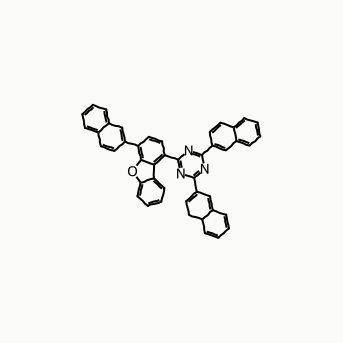 C1=CC2=CC(c3nc(-c4ccc5ccccc5c4)nc(-c4ccc(-c5ccc6ccccc6c5)c5oc6ccccc6c45)n3)=CCC2C=C1